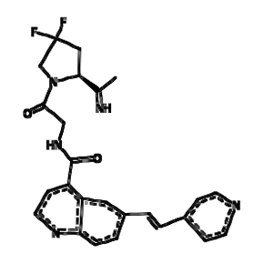 CC(=N)[C@@H]1CC(F)(F)CN1C(=O)CNC(=O)c1ccnc2ccc(/C=C/c3ccncc3)cc12